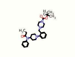 CCC(=O)N(c1ccccc1)C1CCN(c2ccccc2CN2CCN(C(=O)OC(C)(C)C)CC2)CC1